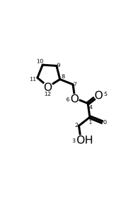 C=C(CO)C(=O)OCC1CCCO1